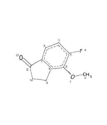 COc1c(F)ccc2c1CCC2=O